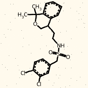 CC1(C)OCC(CCNS(=O)(=O)Cc2ccc(Cl)c(Cl)c2)c2ccccc21